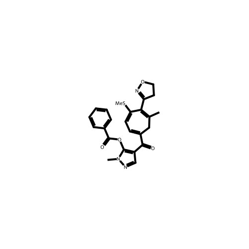 CSC1=CC=C(C(=O)c2cnn(C)c2OC(=O)c2ccccc2)CC(C)=C1C1=NOCC1